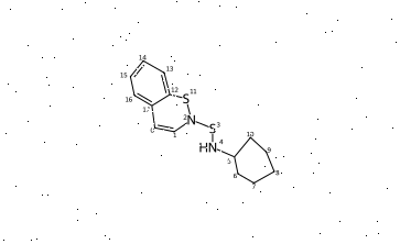 C1=CN(SNC2CCCCC2)Sc2ccccc21